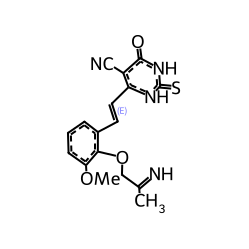 COc1cccc(/C=C/c2[nH]c(=S)[nH]c(=O)c2C#N)c1OCC(C)=N